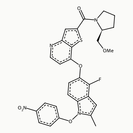 COC[C@@H]1CCCN1C(=O)c1cc2nccc(Oc3ccc4c(cc(C)n4Oc4ccc([N+](=O)[O-])cc4)c3F)c2s1